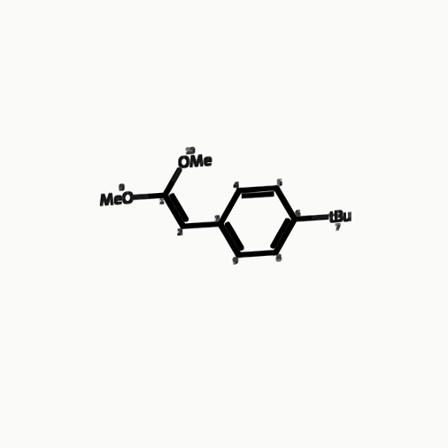 COC(=Cc1ccc(C(C)(C)C)cc1)OC